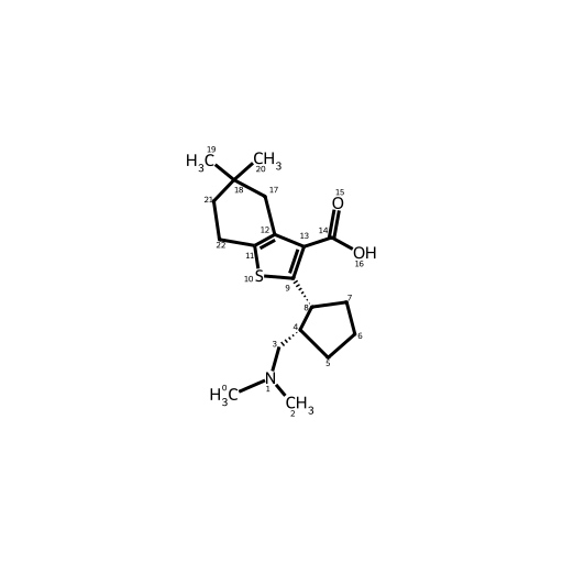 CN(C)C[C@H]1CCC[C@H]1c1sc2c(c1C(=O)O)CC(C)(C)CC2